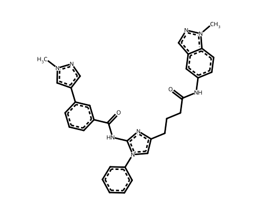 Cn1cc(-c2cccc(C(=O)Nc3nc(CCCC(=O)Nc4ccc5c(cnn5C)c4)cn3-c3ccccc3)c2)cn1